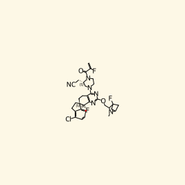 C=C(F)C(=O)N1CCN(c2nc(OCC3N(C)C4CC3(F)C4)nc3c2CC[C@@]2(CCc4c(Cl)cccc42)[C@H]3F)C[C@@H]1CC#N